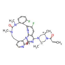 C=CC(=O)N1C[C@H](C)N(c2nc(=O)n3c4nc(c(F)cc24)-c2c(F)cccc2N(C)C(=O)N(C)CCc2ccnc(C(C)C)c2-3)C[C@H]1C